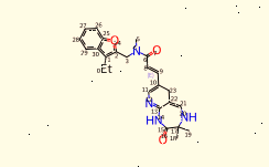 CCc1c(CN(C)C(=O)/C=C/C2=CN=C3NC(=O)C(C)(C)NC=C3C2)oc2ccccc12